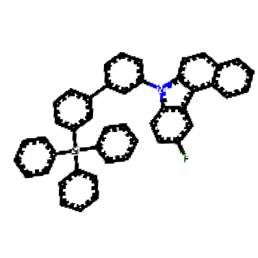 Fc1ccc2c(c1)c1c3ccccc3ccc1n2-c1cccc(-c2cccc([Si](c3ccccc3)(c3ccccc3)c3ccccc3)c2)c1